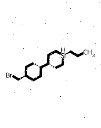 CCC[Si@H]1CC[C@H]([C@H]2CC[C@H](CBr)CC2)CC1